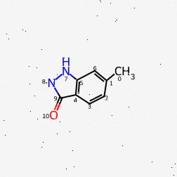 Cc1ccc2c(c1)N[N]C2=O